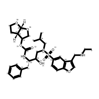 CCNCc1coc2ccc(S(=O)(=O)N(CC(C)C)CC(O)[C@H](Cc3ccccc3)NC(=O)OC3CO[C@H]4OCC[C@@H]34)cc12